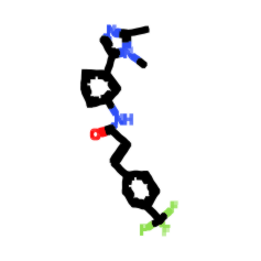 Cc1ncc(-c2cccc(NC(=O)C=Cc3ccc(C(F)(F)F)cc3)c2)n1C